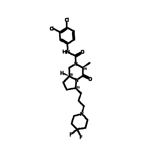 C[C@H]1C(=O)N2[C@@H](CCCN3CCC(F)(F)CC3)CC[C@H]2CN1C(=O)Nc1ccc(Cl)c(Cl)c1